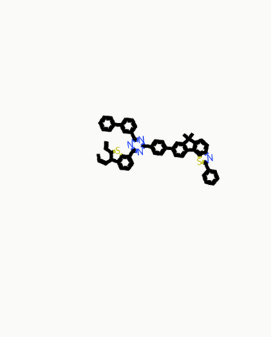 C=CC1Sc2c(-c3nc(-c4ccc(-c5ccc6c(c5)C(C)(C)c5ccc7nc(-c8ccccc8)sc7c5-6)cc4)nc(-c4cccc(-c5ccccc5)c4)n3)cccc2C1/C=C\C